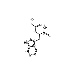 [O]CC(=O)NC(Cc1c[nH]c2ccccc12)C(=O)O